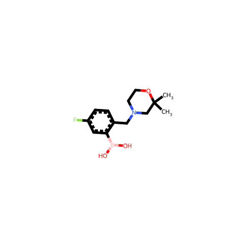 CC1(C)CN(Cc2ccc(F)cc2B(O)O)CCO1